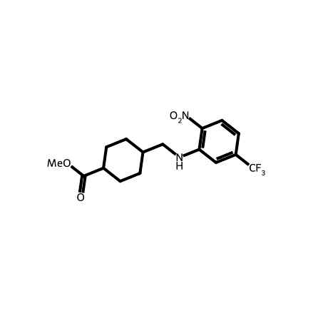 COC(=O)C1CCC(CNc2cc(C(F)(F)F)ccc2[N+](=O)[O-])CC1